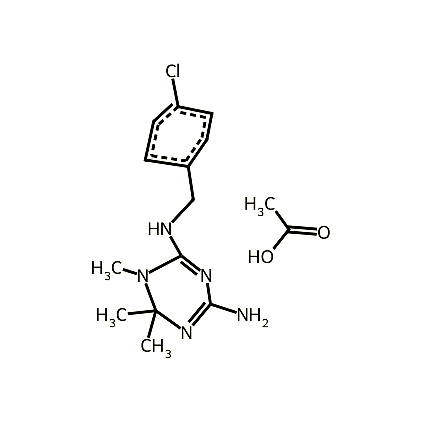 CC(=O)O.CN1C(NCc2ccc(Cl)cc2)=NC(N)=NC1(C)C